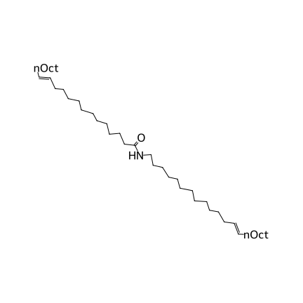 CCCCCCCCC=CCCCCCCCCCCCCNC(=O)CCCCCCCCCCCC=CCCCCCCCC